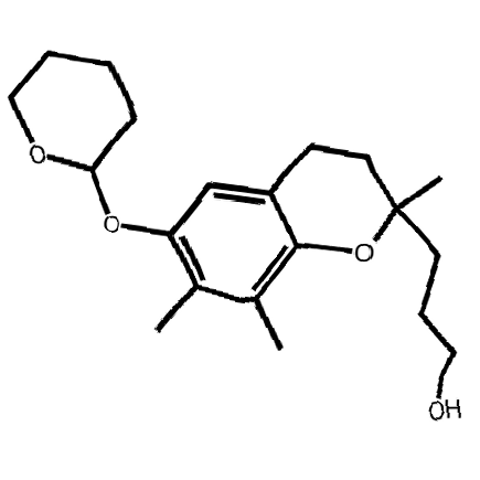 Cc1c(OC2CCCCO2)cc2c(c1C)OC(C)(CCCO)CC2